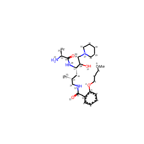 COCCCOc1ccccc1C(=O)NC[C@@H](C[C@H](NC(=O)[C@@H](N)C(C)C)C(O)CN1CCCCC1)C(C)C